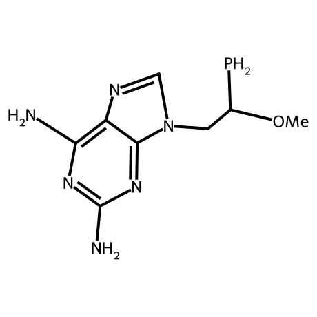 COC(P)Cn1cnc2c(N)nc(N)nc21